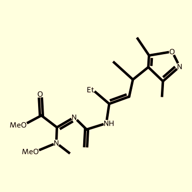 C=C(/N=C(/C(=O)OC)N(C)OC)N/C(=C/C(C)c1c(C)noc1C)CC